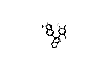 Cc1cc(F)c(-c2nc3n(c2-c2ccc4[nH]ncc4c2)CCC3)cc1F